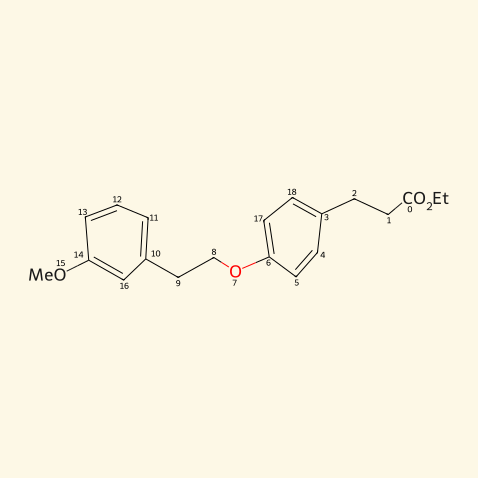 CCOC(=O)CCc1ccc(OCCc2cccc(OC)c2)cc1